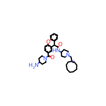 NC1CCN(C(=O)c2ccc3c(c2)C(C(=O)NC2CCN(C/C4=C/CCCCCCC4)CC2)c2ccccc2O3)CC1